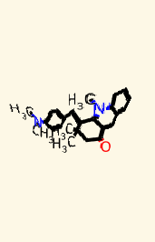 CN(C)c1ccc(C=C2c3c(cc4ccccc4[n+]3C)C(=O)CC2(C)C)cc1